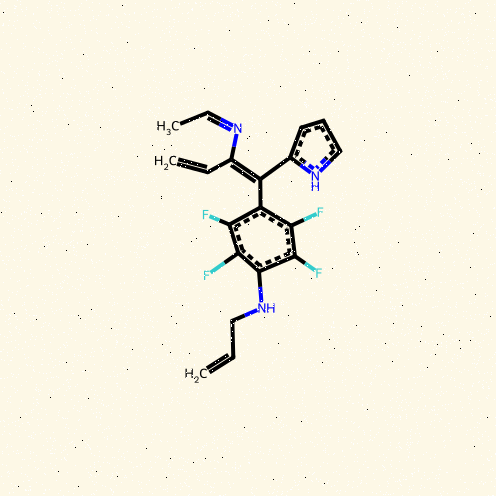 C=CCNc1c(F)c(F)c(/C(=C(C=C)/N=C\C)c2ccc[nH]2)c(F)c1F